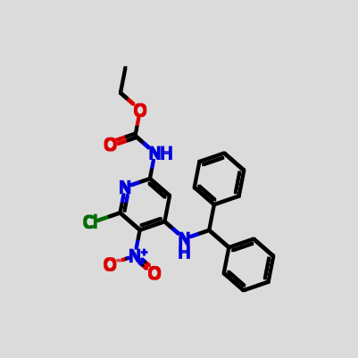 CCOC(=O)Nc1cc(NC(c2ccccc2)c2ccccc2)c([N+](=O)[O-])c(Cl)n1